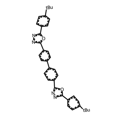 CC(C)(C)c1ccc(-c2nnc(-c3ccc(-c4ccc(-c5nnc(-c6ccc(C(C)(C)C)cc6)o5)cc4)cc3)o2)cc1